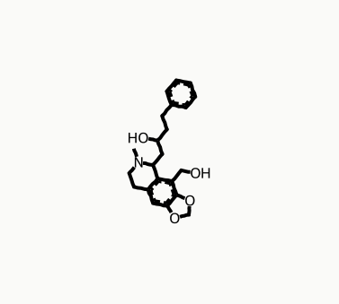 CN1CCc2cc3c(c(CO)c2C1CC(O)CCc1ccccc1)OCO3